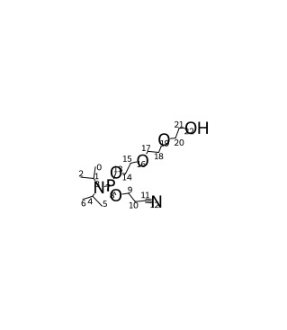 CC(C)N(C(C)C)P(OCCC#N)OCCOCCOCCO